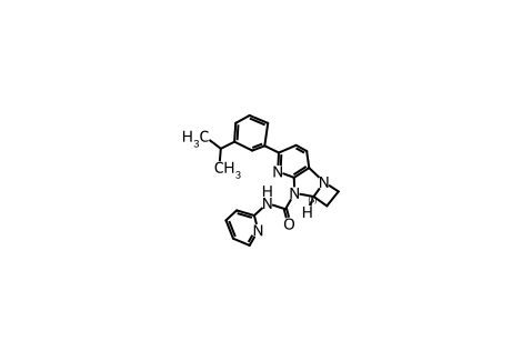 CC(C)c1cccc(-c2ccc3c(n2)N(C(=O)Nc2ccccn2)[C@H]2CCN32)c1